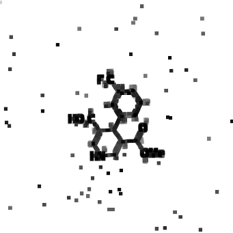 COC(=O)C1=CNC=C(C(=O)O)C1c1cccc(C(F)(F)F)c1